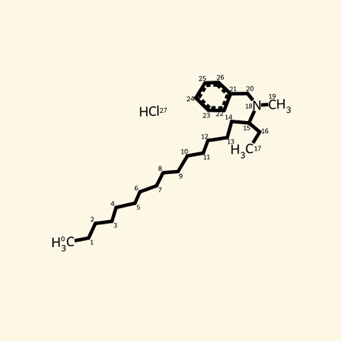 CCCCCCCCCCCCCCCC(CC)N(C)Cc1ccccc1.Cl